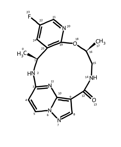 C[C@@H]1Nc2ccn3ncc(c3n2)C(=O)NC[C@H](C)Oc2ncc(F)cc21